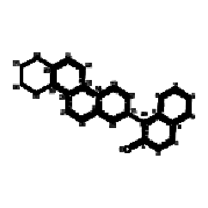 O=c1ccc2ccccc2n1-c1ccc2c(ccc3c4c(ccc32)CCCC4)c1